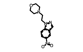 O=[N+]([O-])c1ccc2c(cnn2CCN2CCOCC2)c1